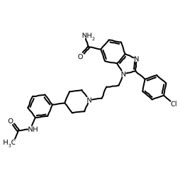 CC(=O)Nc1cccc(C2CCN(CCCn3c(-c4ccc(Cl)cc4)nc4ccc(C(N)=O)cc43)CC2)c1